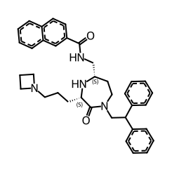 O=C(NC[C@@H]1CCN(CC(c2ccccc2)c2ccccc2)C(=O)[C@H](CCCN2CCC2)N1)c1ccc2ccccc2c1